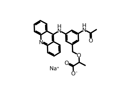 CC(=O)Nc1cc(COC(C)C(=O)[O-])cc(Nc2c3ccccc3nc3ccccc23)c1.[Na+]